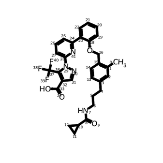 Cc1cc(CCCNC(=O)C2CC2)ccc1COc1ccccc1-c1cccc(-n2ncc(C(=O)O)c2C(F)(F)F)n1